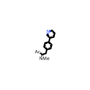 CN[C@@H](Cc1ccc(-c2cccnc2)cc1)C(C)=O